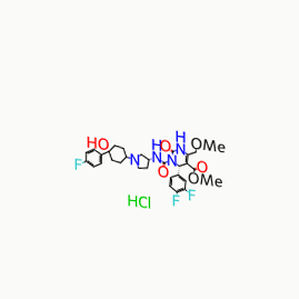 COCC1=C(C(=O)OC)[C@H](c2ccc(F)c(F)c2)N(C(=O)N[C@@H]2CCN(C3CCC(O)(c4ccc(F)cc4)CC3)C2)C(=O)N1.Cl